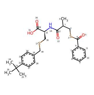 CC(CSC(=O)c1ccccc1)C(=O)N[C@@H](CSCc1ccc(C(C)(C)C)cc1)C(=O)O